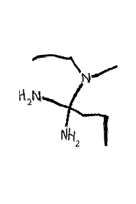 CCN(C)C(N)(N)CC